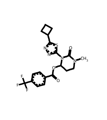 CN1CCC(OC(=O)c2ccc(C(F)(F)F)cc2)N(c2nnc(C3CCC3)s2)C1=O